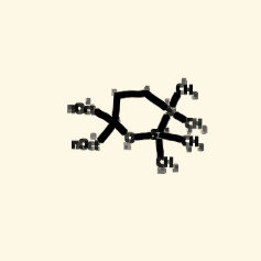 CCCCCCCCC1(CCCCCCCC)CC[Si](C)(C)[Si](C)(C)O1